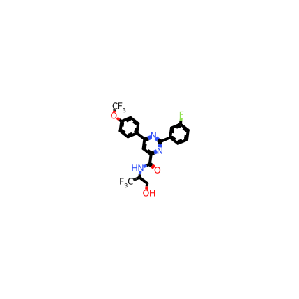 O=C(NC(CO)C(F)(F)F)c1cc(-c2ccc(OC(F)(F)F)cc2)nc(-c2cccc(F)c2)n1